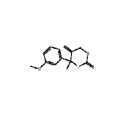 C=C1COC(=O)OC1(C)c1cccc(OC)c1